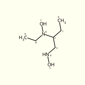 CCC(CNO)N(O)CC